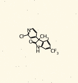 CC1(c2ccnc(Cl)c2)C(=O)Nc2cc(C(F)(F)F)ccc21